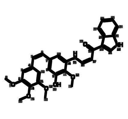 COc1cc(/C=C\c2cc(O)c(OC)c(N/C=C\C(=O)c3c[nH]c4ccccc34)c2)cc(OC)c1OC